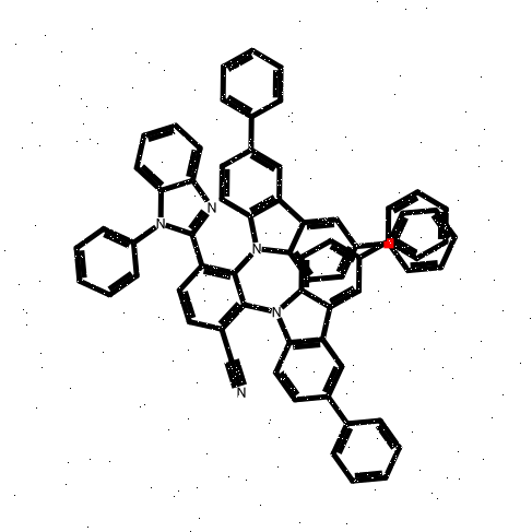 N#Cc1ccc(-c2nc3ccccc3n2-c2ccccc2)c(-n2c3ccc(-c4ccccc4)cc3c3cc(-c4ccccc4)ccc32)c1-n1c2ccc(-c3ccccc3)cc2c2cc(-c3ccccc3)ccc21